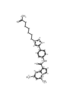 CC(=O)CCCCCCn1cc(-c2ccc(NC(=O)c3ccn4c(C)cc(C)nc34)cc2)nn1